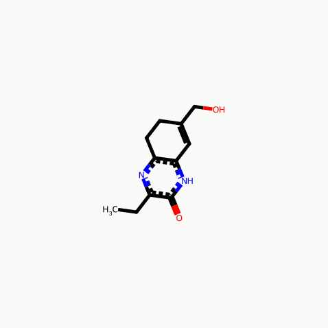 CCc1nc2c([nH]c1=O)C=C(CO)CC2